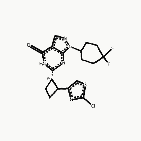 O=c1[nH]c([C@H]2CCC2c2csc(Cl)n2)nc2c1cnn2C1CCC(F)(F)CC1